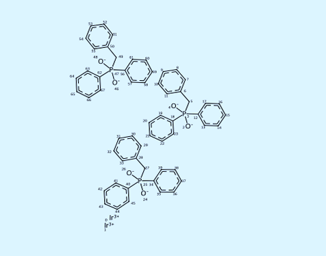 [Ir+3].[Ir+3].[O-]P([O-])(Cc1ccccc1)(c1ccccc1)c1ccccc1.[O-]P([O-])(Cc1ccccc1)(c1ccccc1)c1ccccc1.[O-]P([O-])(Cc1ccccc1)(c1ccccc1)c1ccccc1